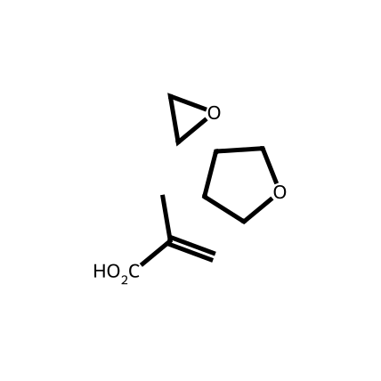 C1CCOC1.C1CO1.C=C(C)C(=O)O